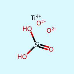 O=[Si](O)O.[O-2].[O-2].[Ti+4]